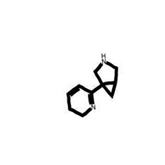 C1=CC(C23CNCC2C3)=NCC1